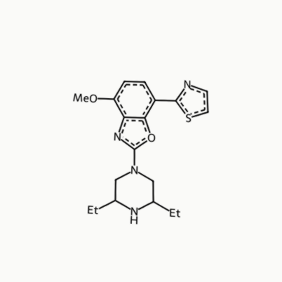 CCC1CN(c2nc3c(OC)ccc(-c4nccs4)c3o2)CC(CC)N1